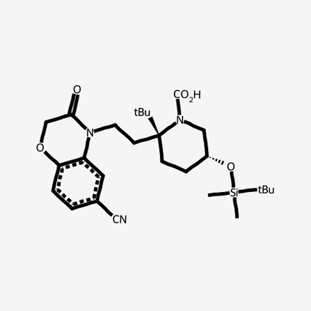 CC(C)(C)[C@]1(CCN2C(=O)COc3ccc(C#N)cc32)CC[C@@H](O[Si](C)(C)C(C)(C)C)CN1C(=O)O